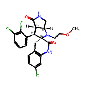 COCCN1[C@H]2CNC(=O)[C@H]2[C@H](c2cccc(Cl)c2F)[C@@]12Cc1ccc(Cl)cc1NC2=O